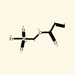 C=CC(=O)OCS(=O)(=O)CC